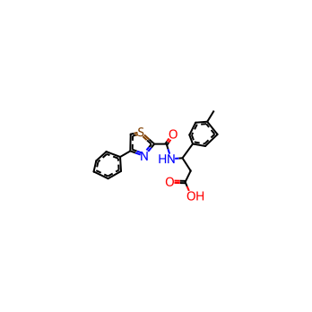 Cc1ccc(C(CC(=O)O)NC(=O)c2nc(-c3ccccc3)cs2)cc1